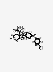 NC(=O)C(O)C1(S(=O)(=O)c2ccc(Oc3ccc(Cl)cc3)cc2)CCNCC1